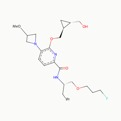 COC1CN(c2ccc(C(=O)N[C@H](COCCCF)CC(C)C)nc2OC[C@H]2C[C@@H]2CO)C1